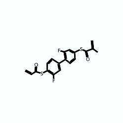 C=CC(=O)Sc1ccc(-c2ccc(SC(=O)C(=C)C)cc2F)cc1F